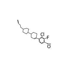 C=CCCC1CCC(C2CC=C(c3ccc(C4CO4)c(F)c3Cl)CC2)CC1